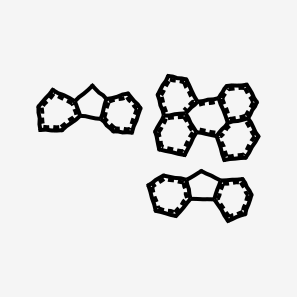 c1cc2cccc3c4cccc5cccc(c(c1)c23)c54.c1ccc2c(c1)Cc1ccccc1-2.c1ccc2c(c1)Cc1ccccc1-2